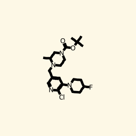 CC1CN(C(=O)OC(C)(C)C)CCN1Cc1cnc(Cl)c(N2CCC(F)CC2)c1